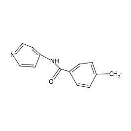 [CH2]c1ccc(C(=O)NC2=CC=[N+]C=C2)cc1